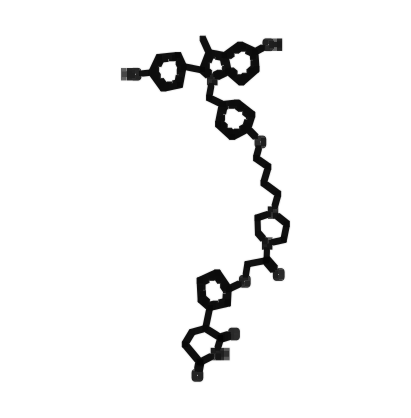 Cc1c(-c2ccc(O)cc2)n(Cc2ccc(OCCCCN3CCN(C(=O)COc4cccc(C5CCC(=O)NC5=O)c4)CC3)cc2)c2ccc(O)cc12